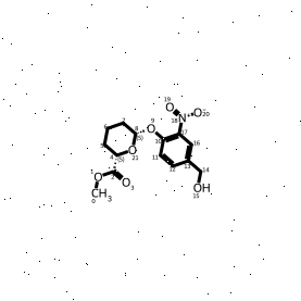 COC(=O)[C@@H]1[CH][CH][CH][C@H](Oc2ccc(CO)cc2[N+](=O)[O-])O1